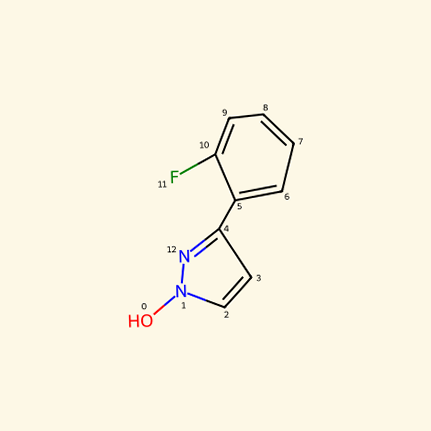 On1ccc(-c2ccccc2F)n1